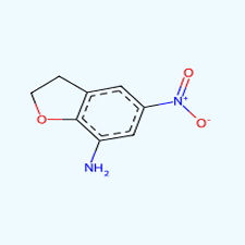 Nc1cc([N+](=O)[O-])cc2c1OCC2